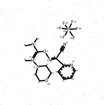 CN(C)C(ON=C(C#N)c1ccccn1)=[N+](C)N1CCOCC1.F[P-](F)(F)(F)(F)F